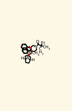 CCC(C)(C)C(=O)N1CCC(CCN2[C@@H]3CC[C@H]2C[C@@H](n2c(C)nc4ccccc42)C3)(c2ccccc2)CC1